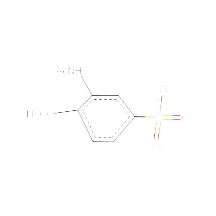 CC(=O)Nc1cc(S(=O)(=O)Cl)ccc1C(=O)O